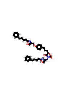 O=C1OC(CCCc2ccc(OCc3coc(/C=C/C=C/c4ccccc4)n3)cc2)C(=O)N1Cc1coc(/C=C/C=C/c2ccccc2)n1